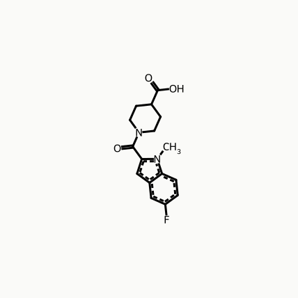 Cn1c(C(=O)N2CCC(C(=O)O)CC2)cc2cc(F)ccc21